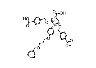 O=C(O)c1ccc(CO[C@H]2CN(C(=O)O)C[C@@H](OCc3ccc(C(=O)O)cc3)[C@H]2c2ccc(OCCCOCc3ccccc3)cc2)cc1